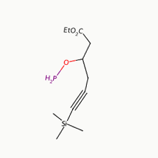 CCOC(=O)CC(CC#C[Si](C)(C)C)OP